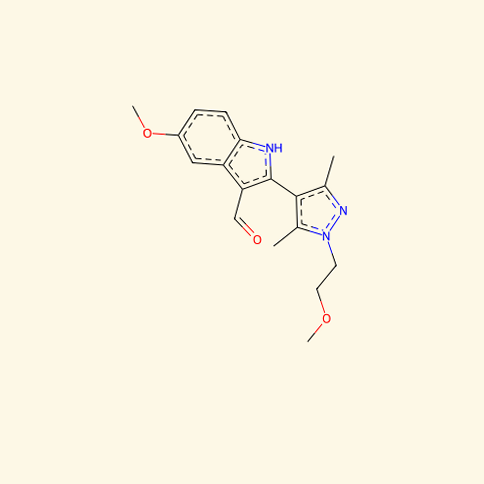 COCCn1nc(C)c(-c2[nH]c3ccc(OC)cc3c2C=O)c1C